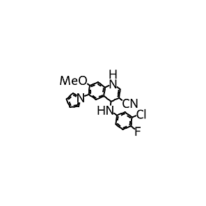 COc1cc2c(cc1-n1cccc1)C(Nc1ccc(F)c(Cl)c1)C(C#N)=CN2